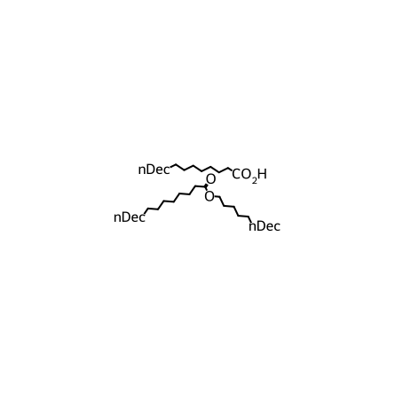 CCCCCCCCCCCCCCCCCC(=O)O.CCCCCCCCCCCCCCCCCC(=O)OCCCCCCCCCCCCCCC